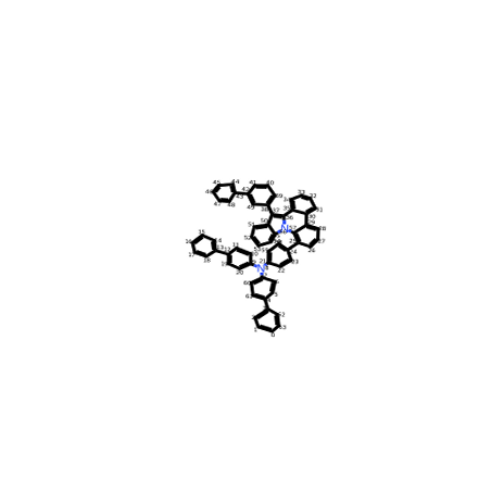 c1ccc(-c2ccc(N(c3ccc(-c4ccccc4)cc3)c3ccc(-c4cccc5c6ccccc6c6c(-c7cccc(-c8ccccc8)c7)c7ccccc7n6c45)cc3)cc2)cc1